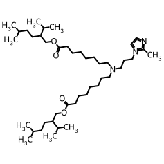 Cc1nccn1CCCN(CCCCCCCC(=O)OCC(CCC(C)C)C(C)C)CCCCCCCC(=O)OCC(CCC(C)C)C(C)C